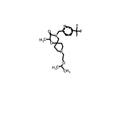 CC(C)OCCN1CCC2(CC1)CN(Cc1ccc(C(F)(F)F)cn1)C(=O)C(C)O2